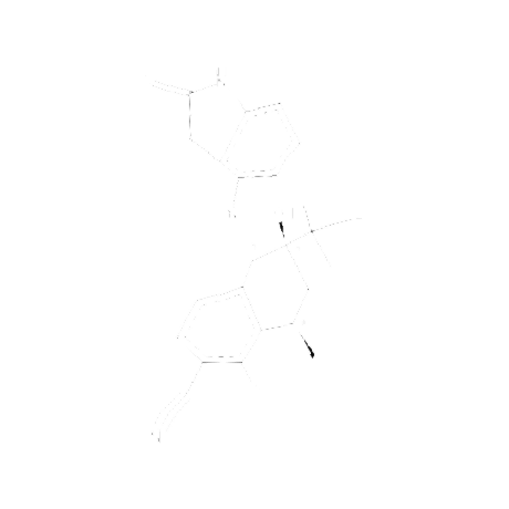 C[C@@H]1C[C@@](O)(C(F)(F)F)[C@@H](Nc2cccc3c2CC(=O)N3)c2ccc(C#N)c(O)c21